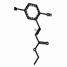 CCOC(=O)/C=C/c1cc(Br)ccc1O